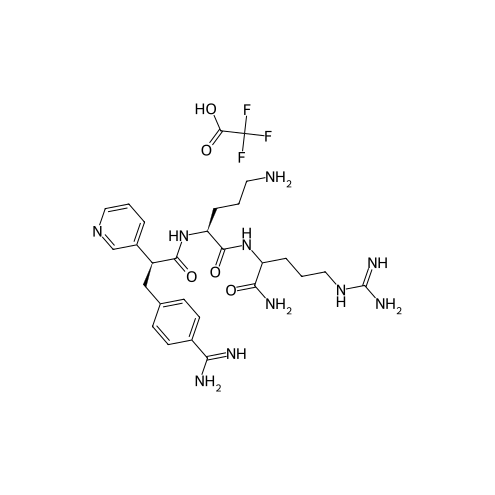 N=C(N)NCCCC(NC(=O)[C@H](CCCN)NC(=O)[C@@H](Cc1ccc(C(=N)N)cc1)c1cccnc1)C(N)=O.O=C(O)C(F)(F)F